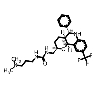 CN(C)CCCNC(=O)NC[C@H]1CC[C@@H]2[C@H](O1)c1cc(C(F)(F)F)ccc1N[C@H]2c1ccccc1